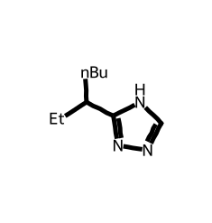 CCCCC(CC)c1nnc[nH]1